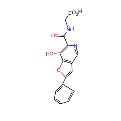 O=C(O)CNC(=O)c1ncc2cc(-c3ccccc3)oc2c1O